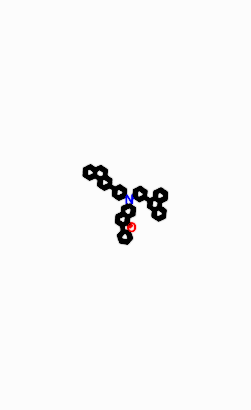 c1cc(-c2cc3ccccc3c3ccccc23)cc(N(c2ccc(-c3ccc4c(ccc5ccccc54)c3)cc2)c2ccc3c(ccc4c5ccccc5oc34)c2)c1